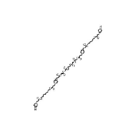 O=C(CCN1CCNCC1)OCCCCCCCCOC(=O)CCN1CCN(CCC(=O)OCC(=O)OCC(=O)OCCOC(=O)COC(=O)COC(=O)CCN2CCN(CCC(=O)OCCCCCCOC(=O)CCN3CCNCC3)CC2)CC1